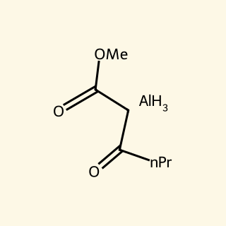 CCCC(=O)CC(=O)OC.[AlH3]